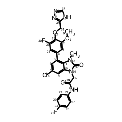 COc1cc(-c2cc(Cl)cc3c2n(C)c(=O)n3CC(=O)Nc2ccc(F)cc2)cc(F)c1OCc1nnc[nH]1